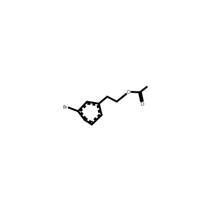 CC(=O)OCCc1cccc(Br)c1